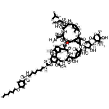 CCCCCCOc1ccc(S(=O)(=O)NCCCCCCNC(=O)Oc2cc(O)c3c(c2)[C@@H](C(=O)O)NC(=O)[C@H]2NC(=O)[C@H](NC(=O)[C@@H]4NC(=O)[C@H](CC(N)=O)NC(=O)[C@H](NC(=O)[C@@H](CC(C)C)NC)[C@H](O)c5ccc(c(C)c5)Oc5cc4cc(c5O[C@@H]4O[C@H](CO)[C@@H](O)[C@H](O)[C@H]4O[C@H]4C[C@](C)(N)[C@H](O)[C@H](C)O4)Oc4ccc(cc4Cl)[C@H]2O)c2ccc(O)c-3c2)cc1